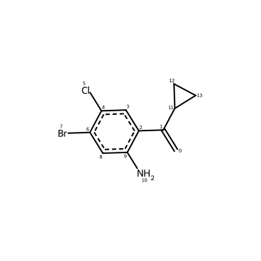 C=C(c1cc(Cl)c(Br)cc1N)C1CC1